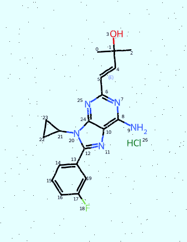 CC(C)(O)/C=C/c1nc(N)c2nc(-c3cccc(F)c3)n(C3CC3)c2n1.Cl